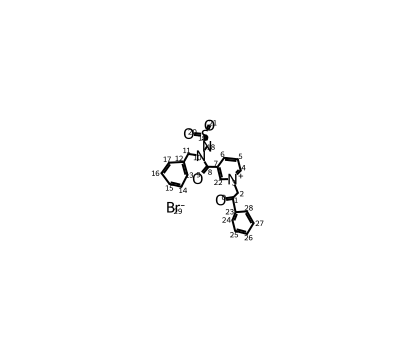 O=C(C[n+]1cccc(C(=O)N(Cc2ccccc2)N=S(=O)=O)c1)c1ccccc1.[Br-]